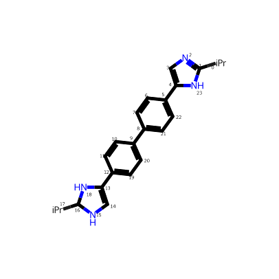 CC(C)c1ncc(-c2ccc(-c3ccc(C4=CNC(C(C)C)N4)cc3)cc2)[nH]1